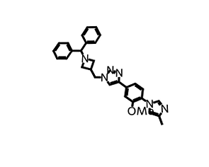 COc1cc(-c2cn(CC3CN(C(c4ccccc4)c4ccccc4)C3)nn2)ccc1-n1cnc(C)c1